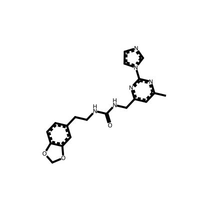 Cc1cc(CNC(=O)NCCc2ccc3c(c2)OCO3)nc(-n2ccnc2)n1